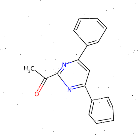 CC(=O)c1nc(-c2ccccc2)cc(-c2ccccc2)n1